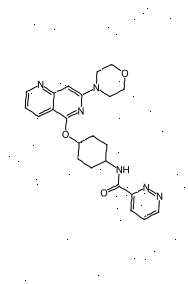 O=C(NC1CCC(Oc2nc(N3CCOCC3)cc3ncccc23)CC1)c1cccnn1